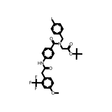 COc1ccc(CC(=O)Nc2ccc(C(=O)N(CC(=O)OC(C)(C)C)Cc3ccc(I)cc3)cc2)c(C(F)(F)F)c1